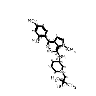 Cn1ccc2c(-c3ccc(C#N)cc3O)nnc(N[C@@H]3CCCN(CC(C)(C)O)C3)c21